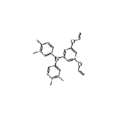 C=COc1cc(OC=C)cc(N(c2ccc(C)c(C)c2)c2ccc(C)c(C)c2)c1